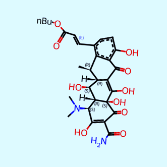 CCCCOC(=O)/C=C/c1ccc(O)c2c1[C@H](C)[C@@H]1C(=C(O)[C@]3(O)C(=O)C(C(N)=O)=C(O)[C@@H](N(C)C)[C@@H]3[C@H]1O)C2=O